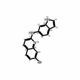 Brc1ccc2ccc(Nc3ccc4cc[nH]c4c3)nc2c1